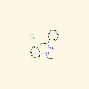 CCNc1ccccc1CC(N)c1ccccc1.Cl.Cl